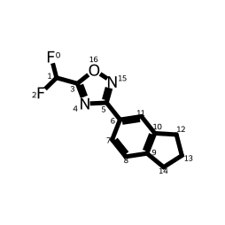 FC(F)c1nc(-c2ccc3c(c2)CCC3)no1